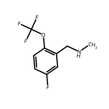 CNCc1cc(F)ccc1OC(F)(F)F